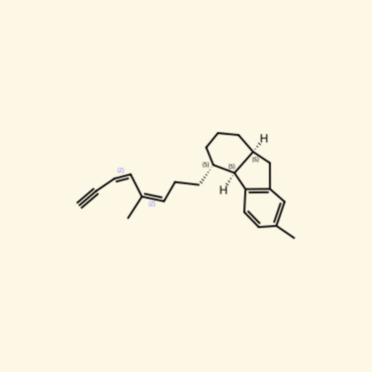 C#C/C=C\C(C)=C/CC[C@@H]1CCC[C@H]2Cc3cc(C)ccc3[C@@H]12